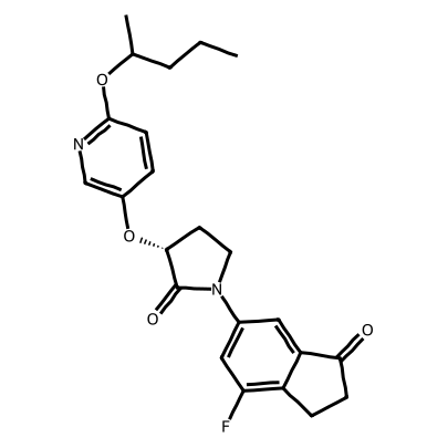 CCCC(C)Oc1ccc(O[C@@H]2CCN(c3cc(F)c4c(c3)C(=O)CC4)C2=O)cn1